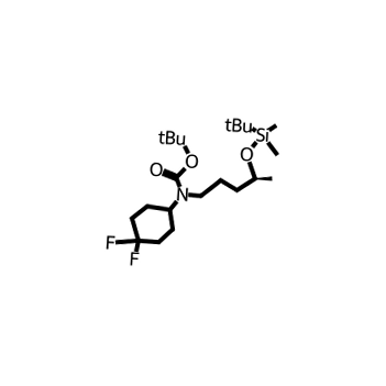 C[C@@H](CCCN(C(=O)OC(C)(C)C)C1CCC(F)(F)CC1)O[Si](C)(C)C(C)(C)C